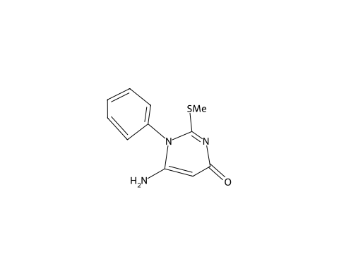 CSc1nc(=O)cc(N)n1-c1ccccc1